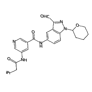 CC(C)CC(=O)Nc1cncc(C(=O)Nc2ccc3c(c2)c(C=O)nn3C2CCCCO2)c1